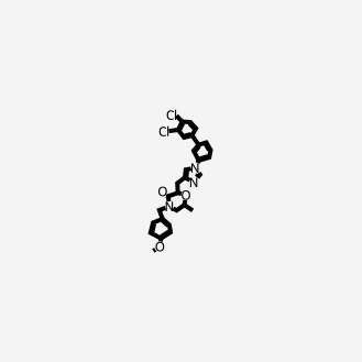 COc1ccc(CN2CC(C)OC(Cc3cn(-c4cccc(-c5ccc(Cl)c(Cl)c5)c4)cn3)C2=O)cc1